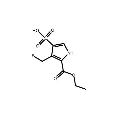 CCOC(=O)c1[nH]cc(S(=O)(=O)O)c1CF